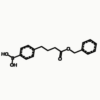 O=C(CCCc1ccc(B(O)O)cc1)OCc1ccccc1